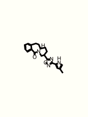 Cc1c[nH]c(-c2noc(C3CC[C@H]4CCc5ccccc5C(=O)N4C3)n2)c1